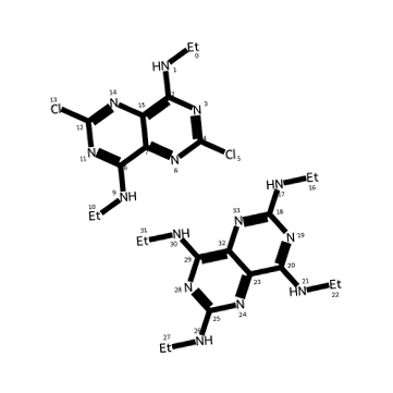 CCNc1nc(Cl)nc2c(NCC)nc(Cl)nc12.CCNc1nc(NCC)c2nc(NCC)nc(NCC)c2n1